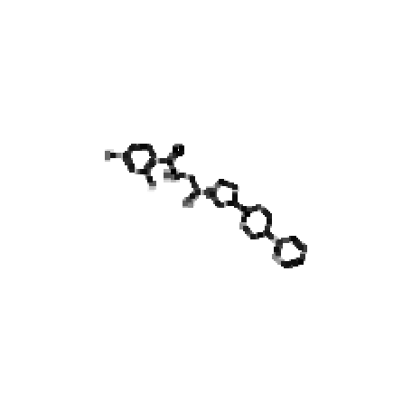 O=C(NCC(=O)N1CCC(N2CCC(c3ccccc3)CC2)C1)c1ccc(F)cc1F